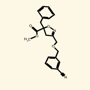 COC(=O)C1(Cc2ccccc2)CC(COCc2cccc(C#N)c2)=NO1